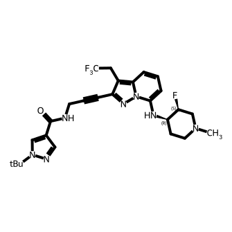 CN1CC[C@@H](Nc2cccc3c(CC(F)(F)F)c(C#CCNC(=O)c4cnn(C(C)(C)C)c4)nn23)[C@@H](F)C1